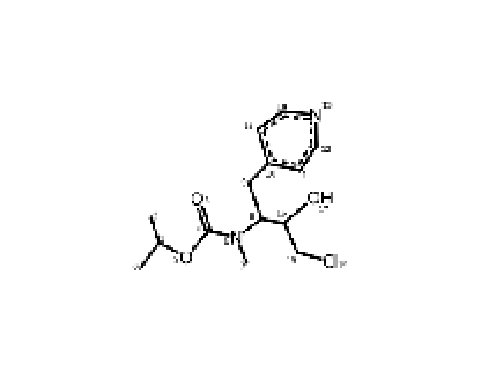 CC(C)OC(=O)N(C)C(Cc1ccncc1)C(O)CCl